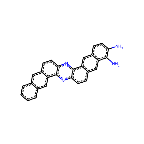 Nc1ccc2cc3c(ccc4nc5c(ccc6cc7ccccc7cc65)nc43)cc2c1N